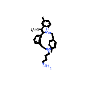 CN/C(=C1/NCC2=CCC(C)(C=C2)N(CCCCN)CCc2cccc1c2)c1cccc(C)c1